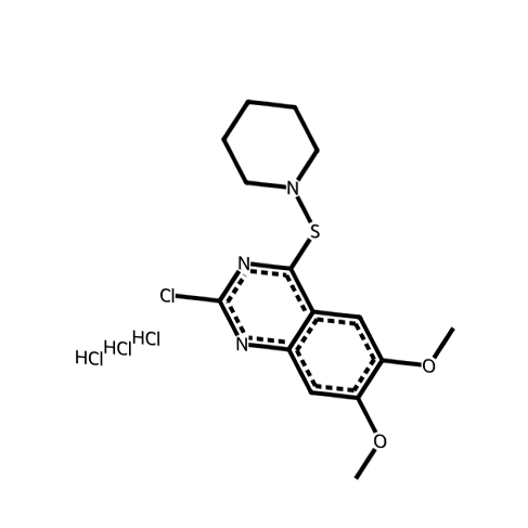 COc1cc2nc(Cl)nc(SN3CCCCC3)c2cc1OC.Cl.Cl.Cl